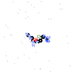 C[C@H](C(=O)N[C@H](C)c1cccc(N2CCN(C)CC2)n1)N1Cc2ccc(-c3cc(Nc4cn(C)nn4)ncc3Cl)cc2C1=O